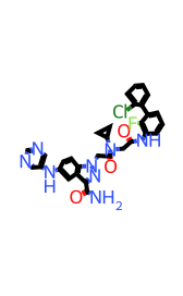 NC(=O)c1nn(CC(=O)N(CC(=O)Nc2cccc(-c3ccccc3Cl)c2F)C2CC2)c2ccc(Nc3cncnc3)cc12